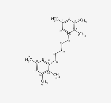 Cc1cc(C)c(C)[n+](CCCCC[n+]2cc(C)cc(C)c2C)c1